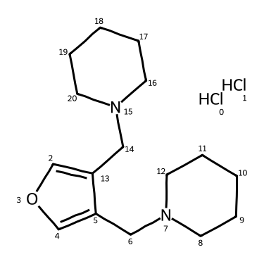 Cl.Cl.c1occ(CN2CCCCC2)c1CN1CCCCC1